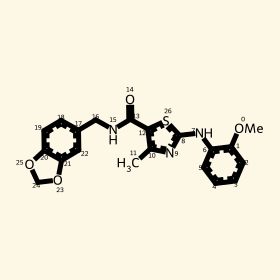 COc1ccccc1Nc1nc(C)c(C(=O)NCc2ccc3c(c2)OCO3)s1